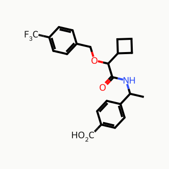 CC(NC(=O)C(OCc1ccc(C(F)(F)F)cc1)C1CCC1)c1ccc(C(=O)O)cc1